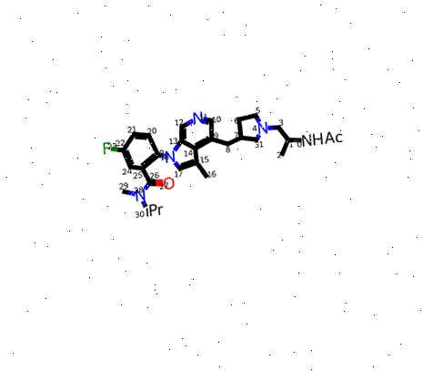 CC(=O)NC(C)CN1CCC(Cc2cncc3c2c(C)cn3-c2ccc(F)cc2C(=O)N(C)C(C)C)C1